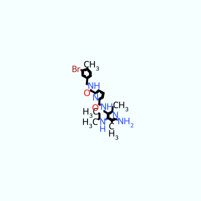 CCc1nc(N)c(C)c(NC(C)CC)c1CNC(=O)c1cccc(C(=O)NCc2ccc(C)c(Br)c2)n1